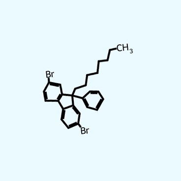 CCCCCCCCC1(c2ccccc2)c2cc(Br)ccc2-c2ccc(Br)cc21